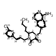 CCCCC1CN(Cc2ccc3c(N)ncnc3c2)C(=O)C(=O)N1C/C=C/c1ccc(Cl)s1